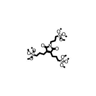 CO[Si](CCCC1=C(CCC[Si](OC)(OC)OC)C(=O)N(CCC[Si](OC)(OC)OC)C1=O)(OC)OC